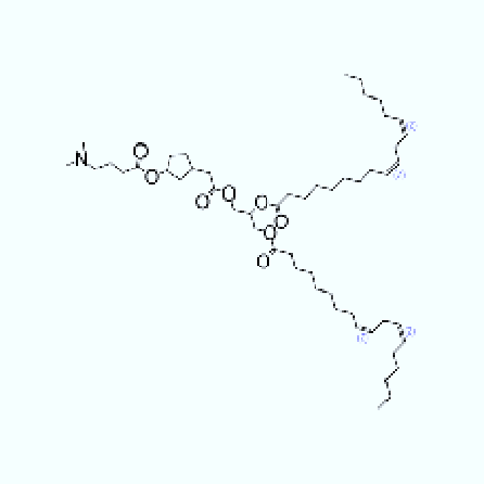 CCCCC/C=C\C/C=C\CCCCCCCC(=O)OCC(COC(=O)CC1CCC(OC(=O)CCCN(C)C)C1)OC(=O)CCCCCCC/C=C\C/C=C\CCCCC